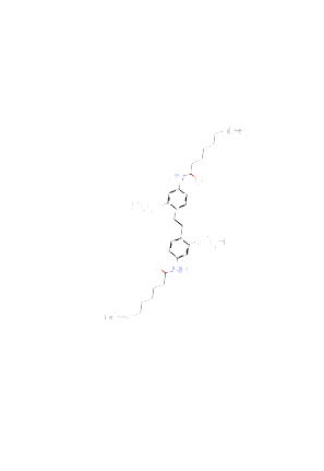 CCCCCCCCCCCCCCCC(=O)Nc1ccc(/C=C/c2ccc(NC(=O)CCCCCCCCCCCCCCC)cc2S(=O)(=O)O)c(S(=O)(=O)O)c1